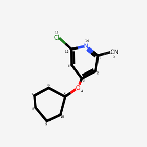 N#Cc1cc(OC2CCCCC2)cc(Cl)n1